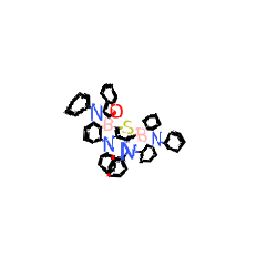 c1ccc(N2c3ccccc3B3c4sc5c(c4N(c4ccccc4)c4cccc2c43)N(c2ccccc2)c2cccc3c2B5c2oc4ccccc4c2N3c2ccccc2)cc1